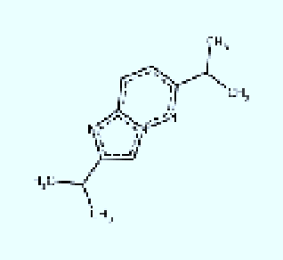 CC(C)c1cn2nc(C(C)C)ccc2n1